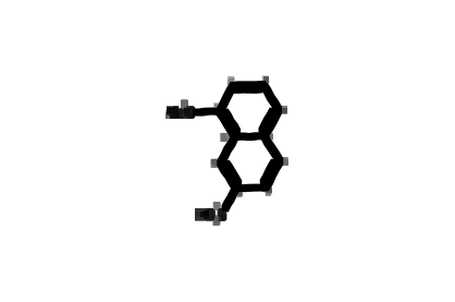 COc1cccc2ccc(S(=O)(=O)O)cc12